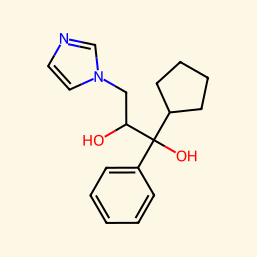 OC(Cn1ccnc1)C(O)(c1ccccc1)C1CCCC1